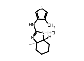 Cc1cscc1NC1=N[C@@H]2CCCC[C@H]2N1.Cl